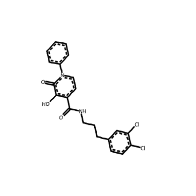 O=C(NCCCc1ccc(Cl)c(Cl)c1)c1ccn(-c2ccccc2)c(=O)c1O